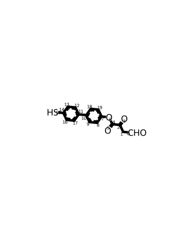 O=CCC(=O)C(=O)Oc1ccc(-c2ccc(S)cc2)cc1